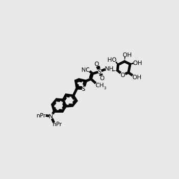 CCCN(CCC)c1ccc2cc(-c3ccc(/C(C)=C(\C#N)S(=O)(=O)NC[C@H]4OC(O)[C@H](O)[C@@H](O)[C@@H]4O)s3)ccc2c1